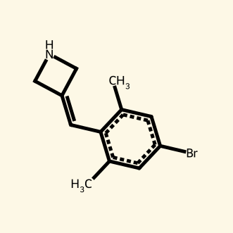 Cc1cc(Br)cc(C)c1C=C1CNC1